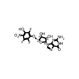 Nc1nc2c(ncn2[C@@H]2O[C@H](COc3c(F)c(O)c([N+](=O)[O-])c(F)c3F)[C@@H](O)[C@H]2O)c(=O)[nH]1